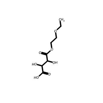 CCOCCOC(=O)C(O)C(O)C(=O)O